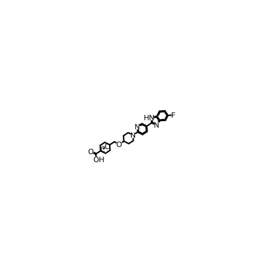 O=C(O)C12CCC(COC3CCN(c4ccc(-c5nc6cc(F)ccc6[nH]5)cn4)CC3)(CC1)CC2